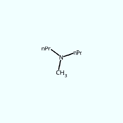 C[CH]CN(C)CCC